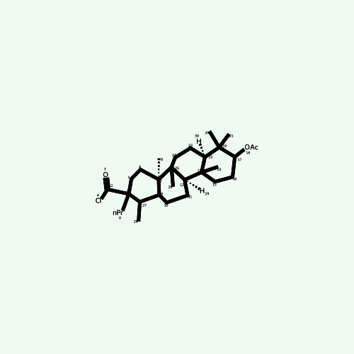 CCCC1(C(=O)Cl)CC[C@]2(C)C(CC[C@@H]3C4(C)CCC(OC(C)=O)C(C)(C)[C@@H]4CCC32C)C1C